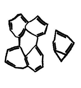 c1cc2cccc3c4cccc5cccc(c(c1)c23)c54.c1ccc2c(c1)C2